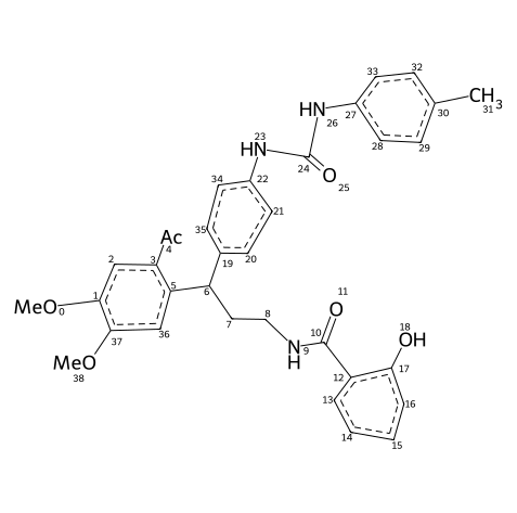 COc1cc(C(C)=O)c(C(CCNC(=O)c2ccccc2O)c2ccc(NC(=O)Nc3ccc(C)cc3)cc2)cc1OC